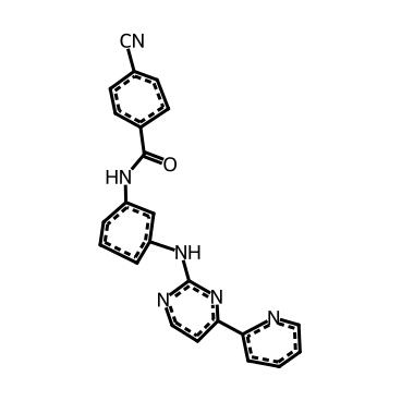 N#Cc1ccc(C(=O)Nc2cccc(Nc3nccc(-c4ccccn4)n3)c2)cc1